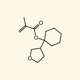 C=C(C)C(=O)OC1(C2CCOC2)CCCCC1